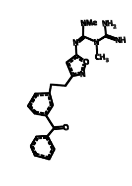 CNC(=Nc1cc(CCc2cccc(C(=O)c3ccccc3)c2)no1)N(C)C(=N)N